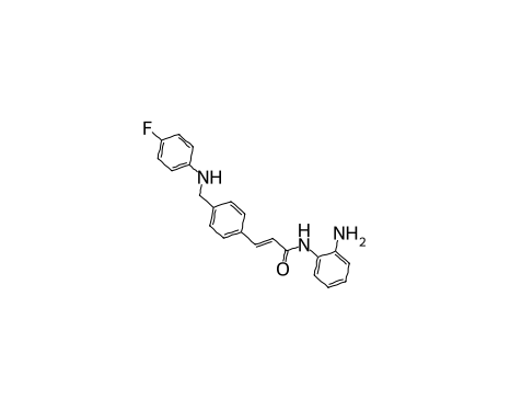 Nc1ccccc1NC(=O)/C=C/c1ccc(CNc2ccc(F)cc2)cc1